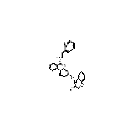 O=C(NCCc1ccccn1)c1ccccc1C1CCN(CCN2C(=O)COc3ccccc32)CC1